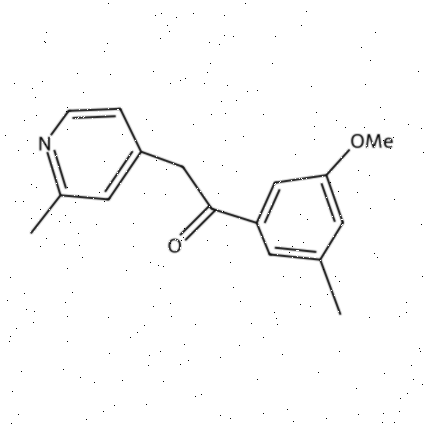 COc1cc(C)cc(C(=O)Cc2ccnc(C)c2)c1